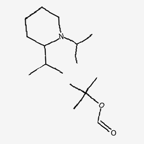 CC(C)(C)OC=O.CC(C)C1CCCCN1C(C)C